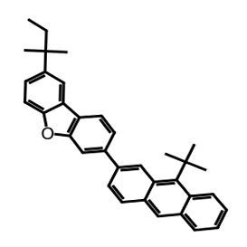 CCC(C)(C)c1ccc2oc3cc(-c4ccc5cc6ccccc6c(C(C)(C)C)c5c4)ccc3c2c1